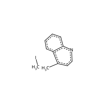 CI.Cc1ccnc2ccccc12